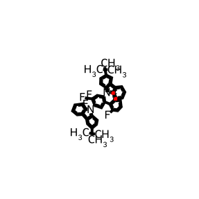 CC(C)(C)c1ccc2c(c1)c1ccccc1n2-c1cc(C(F)(F)F)c(-n2c3ccccc3c3cc(C(C)(C)C)ccc32)cc1-c1c(F)cccc1F